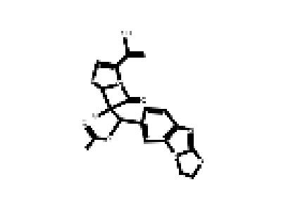 CC(=O)OC(c1ccc2nc3n(c2c1)CCS3)C1(Br)C(=O)N2C(C(=O)O)=CSC21